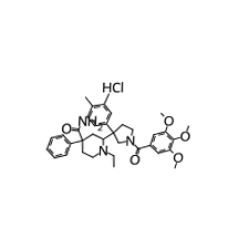 CCN1CCC(C(N)=O)(c2ccccc2)CC1C1(c2ccc(C)c(C)c2)CCN(C(=O)c2cc(OC)c(OC)c(OC)c2)C1.Cl